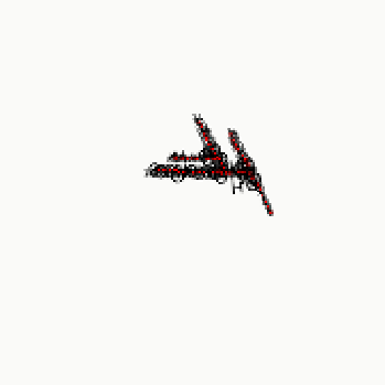 CCCCCCCCCCCCCC(=O)OCCN(CCOC(=O)CCCCCCCCCCCCC)C(=O)CCC(=O)NCCCC[C@H](NC(=O)CCC(=O)N(CCOC(=O)CCCCCCCCCCCCC)CCOC(=O)CCCCCCCCCCCCC)C(=O)NCCCOCCOCCOCCCNC(=O)CCOCCOCCOC